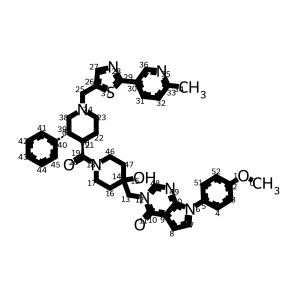 COc1ccc(-n2ccc3c(=O)n(CC4(O)CCN(C(=O)[C@@H]5CCN(Cc6cnc(-c7ccc(C)nc7)s6)C[C@H]5c5ccccc5)CC4)cnc32)cc1